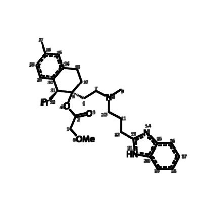 COCC(=O)O[C@]1(CCN(C)CCCc2nc3ccccc3[nH]2)CCc2cc(C)ccc2[C@@H]1C(C)C